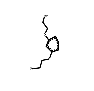 CC(C)CCOc1[c]c(OCCC(C)C)ccc1